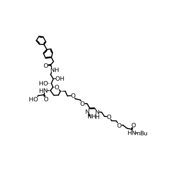 CCCCNC(=O)CCOCCOCCN/C=C(/COCCOCC[C@H]1CC[C@@H](NC(=O)CO)[C@H]([C@H](O)[C@H](O)CNC(=O)Cc2ccc(-c3ccccc3)cc2)O1)N=N